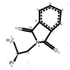 CC(C)[C@@H](C)CN1C(=O)c2ccccc2C1=O